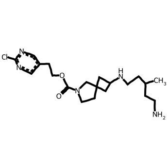 CC(CCN)CCNC1CC2(CCN(C(=O)OCCc3cnc(Cl)nc3)C2)C1